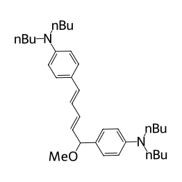 CCCCN(CCCC)c1ccc(C=CC=CC(OC)c2ccc(N(CCCC)CCCC)cc2)cc1